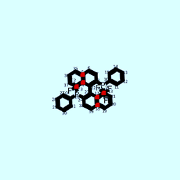 FC(F)(F)c1cccc(P(c2ccccc2)c2ccccc2)c1-c1c(P(c2ccccc2)c2ccccc2)cccc1C(F)(F)F